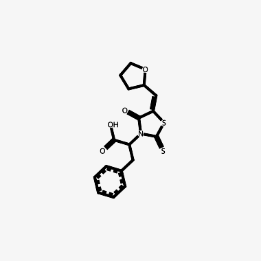 O=C(O)C(Cc1ccccc1)N1C(=O)/C(=C\C2CCCO2)SC1=S